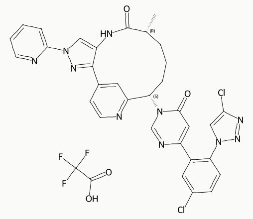 C[C@@H]1CCC[C@H](n2cnc(-c3cc(Cl)ccc3-n3cc(Cl)nn3)cc2=O)c2cc(ccn2)-c2nn(-c3ccccn3)cc2NC1=O.O=C(O)C(F)(F)F